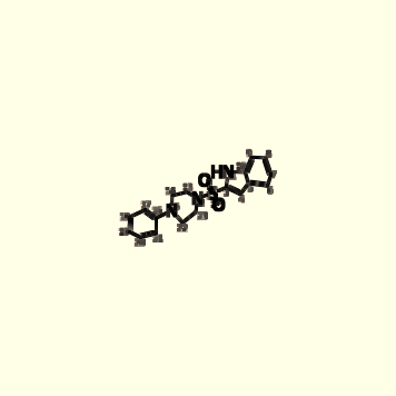 O=S(=O)(c1cc2ccccc2[nH]1)N1CCN(c2ccccc2)CC1